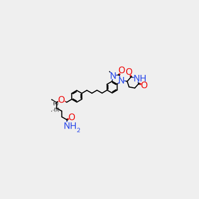 C[C@@H](CCC(N)=O)[C@@H](C)OCc1ccc(CCCCc2ccc3c(c2)n(C)c(=O)n3C2CCC(=O)NC2=O)cc1